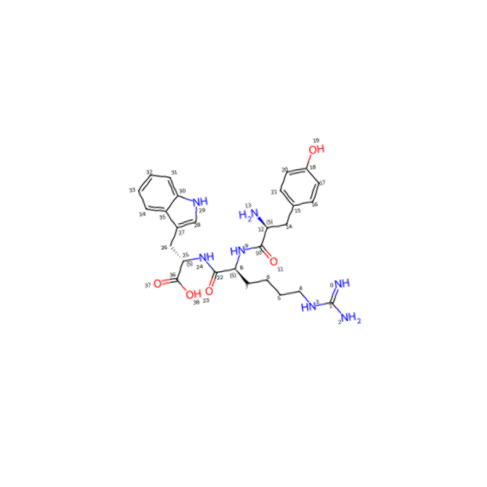 N=C(N)NCCCC[C@H](NC(=O)[C@@H](N)Cc1ccc(O)cc1)C(=O)N[C@@H](Cc1c[nH]c2ccccc12)C(=O)O